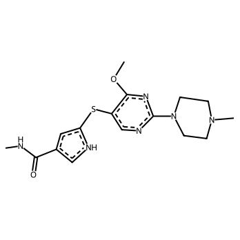 CNC(=O)c1c[nH]c(Sc2cnc(N3CCN(C)CC3)nc2OC)c1